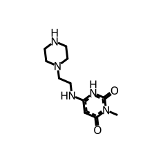 Cn1c(=O)cc(NCCN2CCNCC2)[nH]c1=O